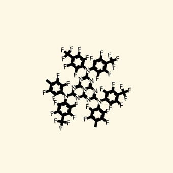 Cc1c(F)c(F)c(N(C2=NC3=NC(N(c4c(F)c(F)c(C)c(F)c4F)c4c(F)c(F)c(C(F)(F)F)c(F)c4F)=NC4=NC(N(c5c(F)c(F)c(C(F)(F)F)c(F)c5F)c5c(F)c(F)c(C(F)(F)F)c(F)c5F)=NC(=N2)N34)c2c(F)c(F)c(C(F)(F)F)c(F)c2F)c(F)c1F